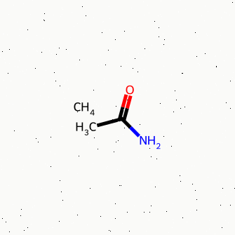 C.CC(N)=O